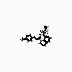 N#Cc1ccc(CCC(=O)N2CCCc3cccc(NS(=O)(=O)C4CC4)c32)cc1